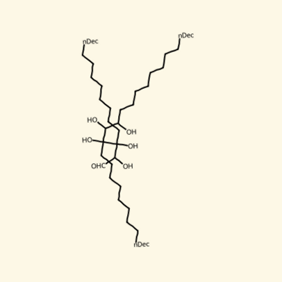 CCCCCCCCCCCCCCCCCCC(O)C(O)C(O)(CCCCCCCCCCCCCCCCCC)C(O)(CCCCCCCCCCCCCCCCCC)C(O)C=O